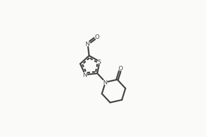 O=Nc1cnc(N2CCCCC2=O)s1